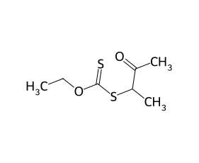 CCOC(=S)SC(C)C(C)=O